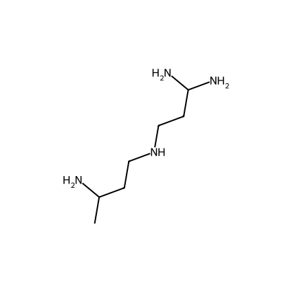 CC(N)CCNCCC(N)N